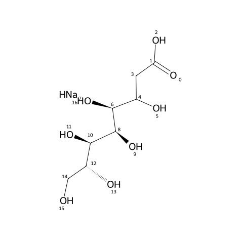 O=C(O)CC(O)[C@H](O)[C@@H](O)[C@H](O)[C@H](O)CO.[NaH]